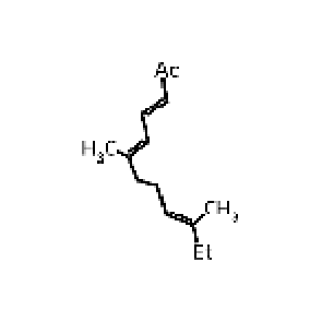 CCC(C)=CCCC(C)=CC=CC(C)=O